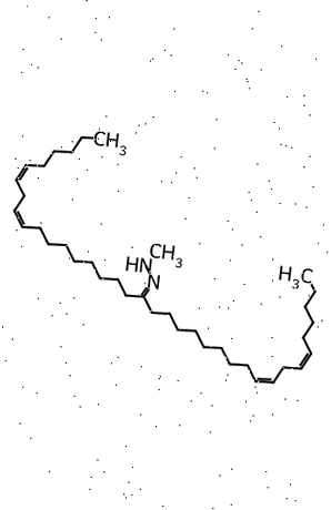 CCCCC/C=C\C/C=C\CCCCCCCCC(CCCCCCCC/C=C\C/C=C\CCCCC)=NNC